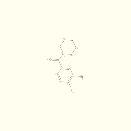 O=C(c1cnc(Cl)c(Br)c1)N1CCCCC1